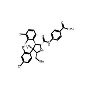 COC(=O)c1ccc(NC(=O)[C@@H]2N[C@@H](CC(C)(C)C)[C@](N)(c3ccc(Cl)cc3F)[C@H]2c2cccc(Cl)c2F)cc1